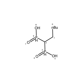 CCCCCC([PH](=O)O)[PH](=O)O